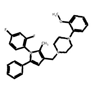 COc1ccccc1N1CCN(Cc2cc(-c3ccccc3)n(-c3ccc(F)cc3F)c2C)CC1